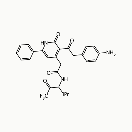 CC(C)C(NC(=O)Cc1cc(-c2ccccc2)[nH]c(=O)c1C(=O)Cc1ccc(N)cc1)C(=O)C(F)(F)F